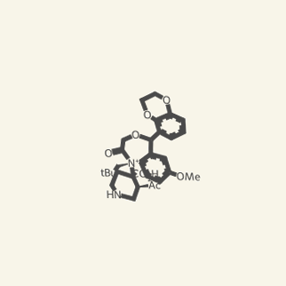 COc1ccc2c(c1)C(c1cccc3c1OCCO3)OCC(=O)[N@@+]2(CC(C)(C)C)[C@@]1(C(=O)O)CCNC[C@@H]1C(C)=O